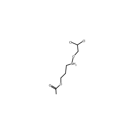 CC(=O)OCCC[SiH2]OCC(Cl)Cl